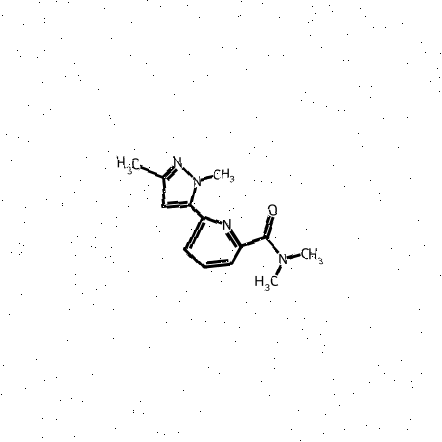 Cc1cc(-c2cccc(C(=O)N(C)C)n2)n(C)n1